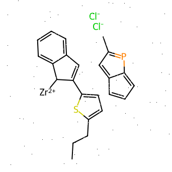 CC1=PC2=CC=CC2=C1.CCCc1ccc(C2=Cc3ccccc3[CH]2[Zr+2])s1.[Cl-].[Cl-]